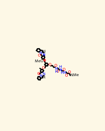 CNCC(=O)C(=O)CNC(=O)CNC(=O)CNC(=O)CCCOc1cc(COc2cc3c(cc2C)C(=O)N2c4ccccc4C[C@H]2C=N3)cc(COc2cc3c(cc2OC)C(=O)N2c4ccccc4C[C@H]2C=N3)c1